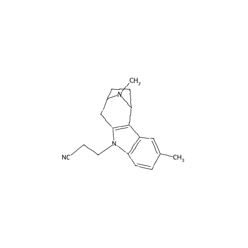 Cc1ccc2c(c1)c1c(n2CCC#N)CC2CCC1N2C